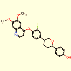 COc1cc2nccc(Oc3ccc(C4CCC(c5ccc(O)cc5)OC4)cc3F)c2cc1OC